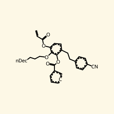 C=CC(=O)Oc1ccc(CCc2ccc(C#N)cc2)c(OC(=O)c2ccccc2)c1OCCCCCCCCCCCCC